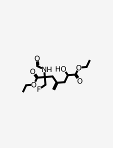 C=C(CC(O)C(=O)OCC)CC(CF)(NC=O)C(=O)OCC